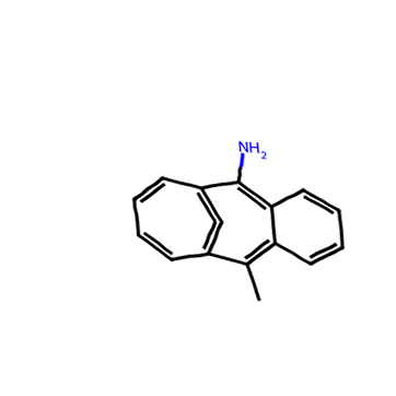 CC1=c2ccccc2=C(N)C2=C=C1C=CC=C2